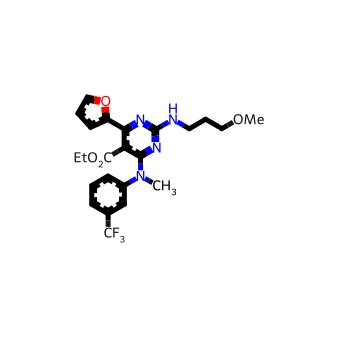 CCOC(=O)c1c(-c2ccco2)nc(NCCCOC)nc1N(C)c1cccc(C(F)(F)F)c1